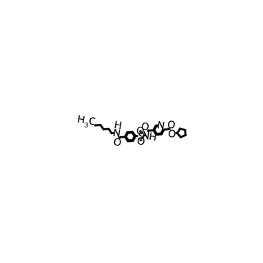 CCCCCCNC(=O)c1ccc(S(=O)(=O)NC(=O)c2ccc(C(=O)OC3CCCC3)nc2)cc1